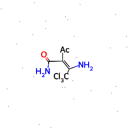 CC(=O)C(C(N)=O)=C(N)C(Cl)(Cl)Cl